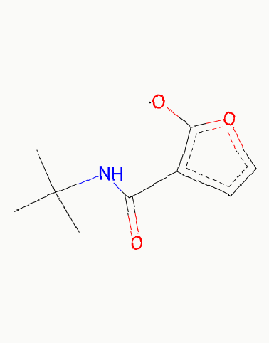 CC(C)(C)NC(=O)c1ccoc1[O]